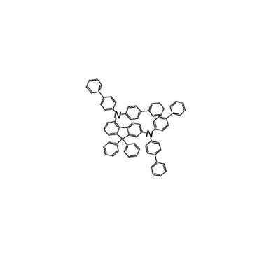 C1=CC(c2ccc(N(c3ccc(-c4ccccc4)cc3)c3cccc4c3-c3ccc(N(c5ccc(-c6ccccc6)cc5)c5ccc(-c6ccccc6)cc5)cc3C4(c3ccccc3)c3ccccc3)cc2)=CCC1